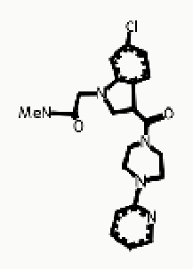 CNC(=O)CN1CC(C(=O)N2CCN(c3ccccn3)CC2)c2ccc(Cl)cc21